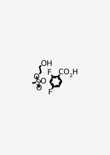 CS(=O)(=O)OCCO.O=C(O)c1ccc(F)cc1F